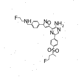 CC(CCF)S(=O)(=O)c1ccc(-c2cnc(N)c(-c3cc(-c4ccc(CNCCF)cc4)no3)n2)cc1